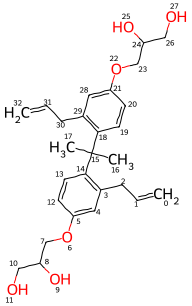 C=CCc1cc(OCC(O)CO)ccc1C(C)(C)c1ccc(OCC(O)CO)cc1CC=C